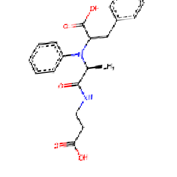 C[C@@H](C(=O)NCCC(=O)O)N(c1ccccc1)C(Cc1ccccc1)C(=O)O